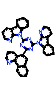 c1ccc2c(c1)cc(-c1nc(-n3c4ccccc4c4cccnc43)nc(-n3c4ccccc4c4cccnc43)n1)c1cccnc12